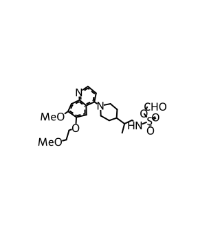 COCCOc1cc2c(N3CCC(C(C)CNS(=O)(=O)OC=O)CC3)ccnc2cc1OC